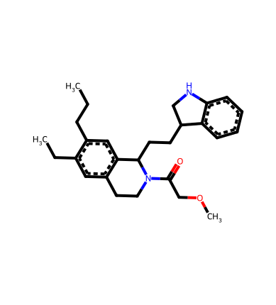 CCCc1cc2c(cc1CC)CCN(C(=O)COC)C2CCC1CNc2ccccc21